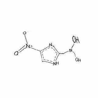 O=[N+]([O-])c1c[nH]c(B(O)O)n1